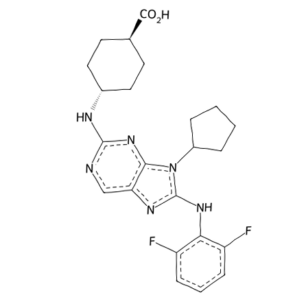 O=C(O)[C@H]1CC[C@H](Nc2ncc3nc(Nc4c(F)cccc4F)n(C4CCCC4)c3n2)CC1